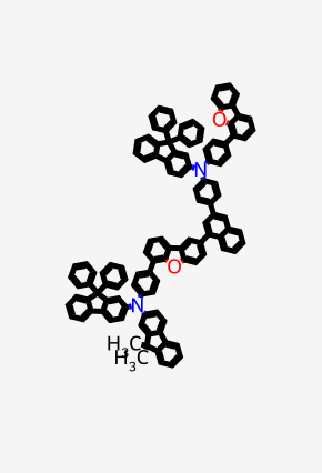 CC1(C)c2ccccc2-c2ccc(N(c3ccc(-c4cccc5c4oc4ccc(-c6cc(-c7ccc(N(c8ccc(-c9cccc%10c9oc9ccccc9%10)cc8)c8ccc9c(c8)C(c8ccccc8)(c8ccccc8)c8ccccc8-9)cc7)cc7ccccc67)cc45)cc3)c3ccc4c(c3)C(c3ccccc3)(c3ccccc3)c3ccccc3-4)cc21